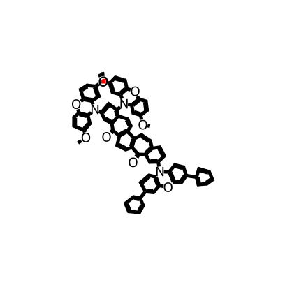 COc1ccc2c(c1)N(c1cc(N3c4cc(OC)ccc4Oc4ccc(OC)cc43)c3ccc4c(ccc5c(=O)c6cc(N7c8ccc(-c9ccccc9)cc8Oc8cc(-c9ccccc9)ccc87)ccc6ccc54)c(=O)c3c1)c1cc(OC)ccc1O2